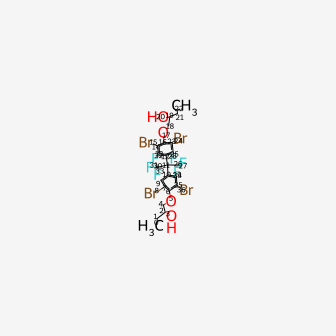 CCC(O)COc1c(Br)cc(C(c2cc(Br)c(OCC(O)CC)c(Br)c2)(C(F)(F)F)C(F)(F)F)cc1Br